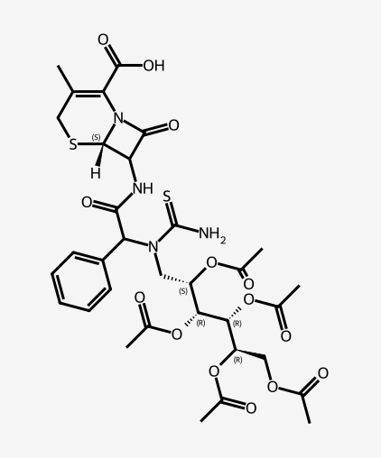 CC(=O)OC[C@@H](OC(C)=O)[C@@H](OC(C)=O)[C@H](OC(C)=O)[C@H](CN(C(N)=S)C(C(=O)NC1C(=O)N2C(C(=O)O)=C(C)CS[C@@H]12)c1ccccc1)OC(C)=O